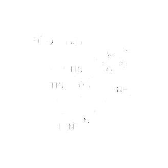 CCOc1cc(C(Nc2ccc3c(N)nccc3c2)C(=O)N[C@H](CC(=O)OC(=O)C(F)(F)F)c2cccc(N)c2)ccc1OC(C)C